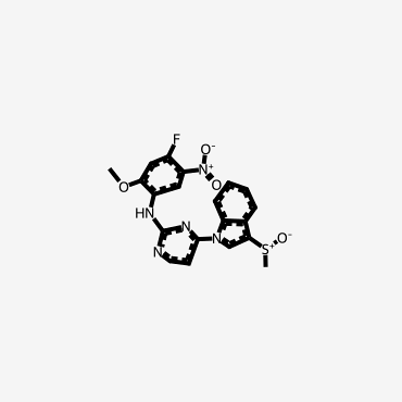 COc1cc(F)c([N+](=O)[O-])cc1Nc1nccc(-n2cc([S+](C)[O-])c3ccccc32)n1